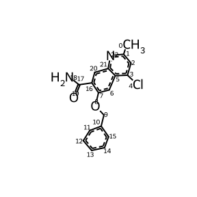 Cc1cc(Cl)c2cc(OCc3ccccc3)c(C(N)=O)cc2n1